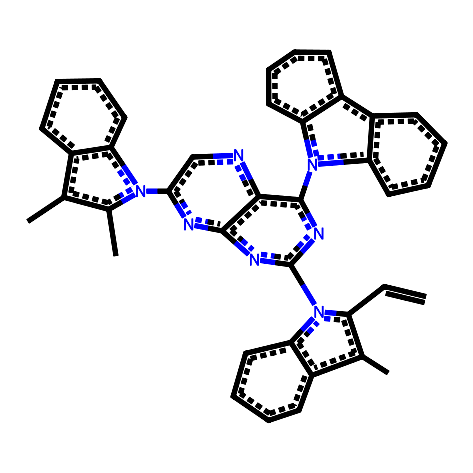 C=Cc1c(C)c2ccccc2n1-c1nc(-n2c3ccccc3c3ccccc32)c2ncc(-n3c(C)c(C)c4ccccc43)nc2n1